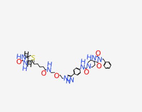 O=C(CCCC[C@@H]1SC[C@@H]2NC(=O)N[C@@H]21)NCCOCCn1cc(-c2ccc(NC(=O)N3CCC4(CC3)NC(=O)N(Cc3ccccc3)C4=O)cc2)nn1